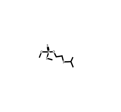 COP(=S)(OCCSC(C)C)SC